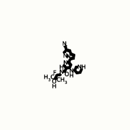 CC(C)(O)C(F)CNC(=O)c1cnc(-c2ccc3cc(C#N)cnn23)cc1N[C@H]1CCCNC1